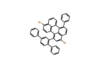 Brc1ccc2c3c(-c4cc(-c5ccccc5)ccc4-c4ccccc4)cc(Br)c4ccc(-c5ccccc5)c(c5cccc1c52)c43